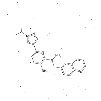 CC(C)n1cc(-c2ccc(N)c(N(N)Cc3ccc4ncccc4c3)n2)cn1